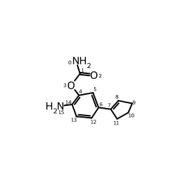 NC(=O)Oc1cc(C2=CCCC2)ccc1N